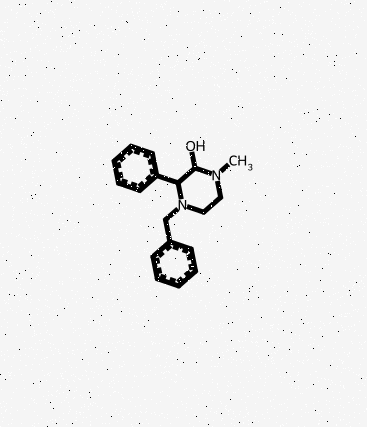 CN1CCN(Cc2ccccc2)C(c2ccccc2)C1O